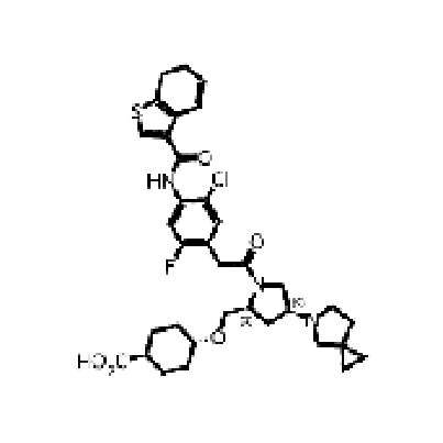 O=C(Nc1cc(F)c(CC(=O)N2C[C@@H](N3CCC4(CC4)C3)C[C@H]2CO[C@H]2CC[C@H](C(=O)O)CC2)cc1Cl)c1csc2c1C=CCC2